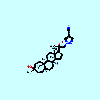 C[C@]1(O)CC[C@@H]2CC[C@@H]3[C@H](CC[C@@]4(C)[C@H]3CC[C@@H]4[C@](C)(O)Cn3cc(C#N)cn3)[C@@]2(C)CC1